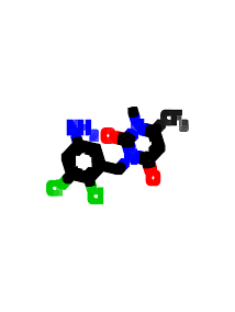 Cn1c(C(F)(F)F)cc(=O)n(Cc2cc(N)cc(Cl)c2Cl)c1=O